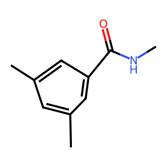 CNC(=O)c1cc(C)cc(C)c1